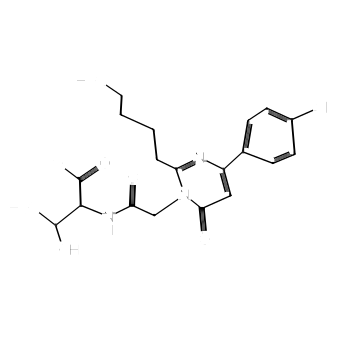 CCCCCc1nc(-c2ccc(Cl)cc2)cc(=O)n1CC(=O)NC(C(=O)O)C(C)C